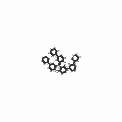 O=P12c3cc(-c4ccccc4)ccc3Oc3ccc(-c4cccc(-c5cccnc5)c4)c(c31)Oc1ccc(-c3ccccc3)cc12